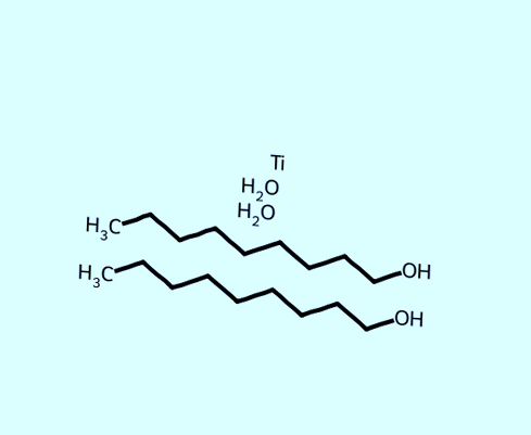 CCCCCCCCCO.CCCCCCCCCO.O.O.[Ti]